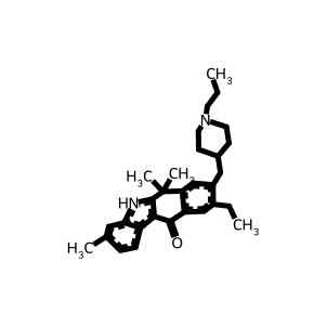 CCCN1CCC(Cc2cc3c(cc2CC)C(=O)c2c([nH]c4cc(C)ccc24)C3(C)C)CC1